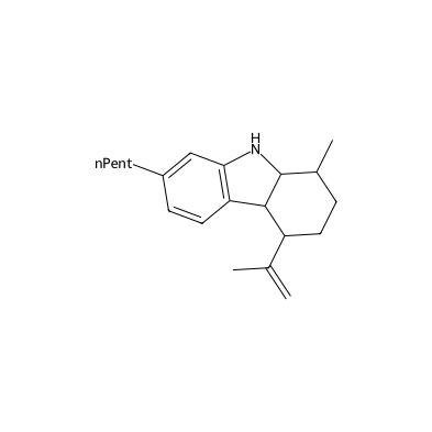 C=C(C)C1CCC(C)C2Nc3cc(CCCCC)ccc3C12